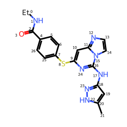 CCNC(=O)c1ccc(Sc2cc3nccn3c(Nc3cc(C)[nH]n3)n2)cc1